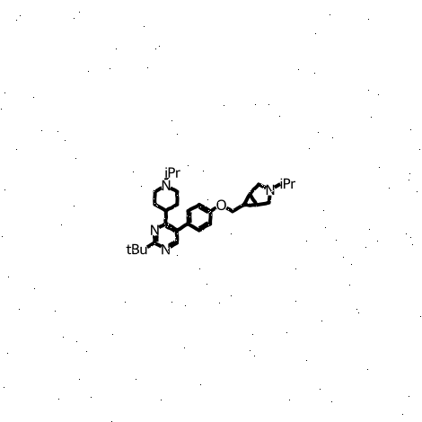 CC(C)N1CCC(c2nc(C(C)(C)C)ncc2-c2ccc(OCC3C4CN(C(C)C)CC34)cc2)CC1